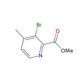 COC(=O)c1nccc(C)c1Br